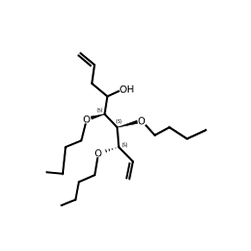 C=CCC(O)[C@H](OCCCC)[C@@H](OCCCC)[C@H](C=C)OCCCC